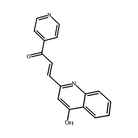 O=C(C=Cc1cc(O)c2ccccc2n1)c1ccncc1